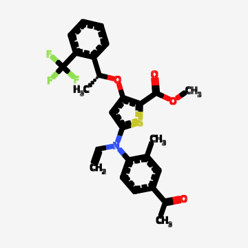 C=CN(c1cc(O[C@H](C)c2ccccc2C(F)(F)F)c(C(=O)OC)s1)c1ccc(C(C)=O)cc1C